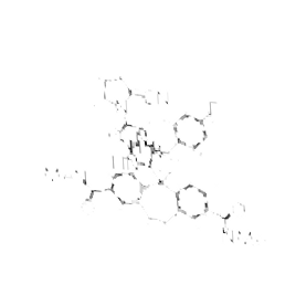 CNC(=O)c1ccc2c(c1)CCc1cc(C(=O)NC)ccc1C2(C[C@H](NCC(=O)N1CCC[C@H]1C#N)c1ccc(F)cc1)c1nnn[nH]1